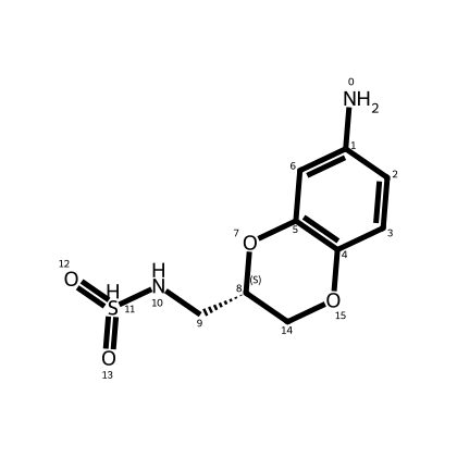 Nc1ccc2c(c1)O[C@@H](CN[SH](=O)=O)CO2